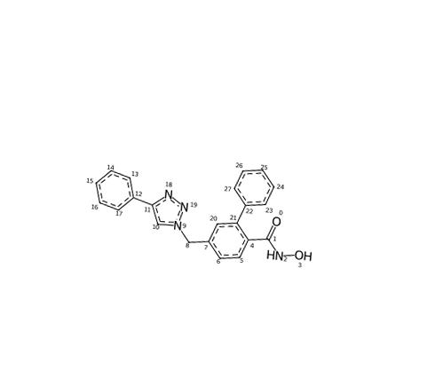 O=C(NO)c1ccc(Cn2cc(-c3ccccc3)nn2)cc1-c1ccccc1